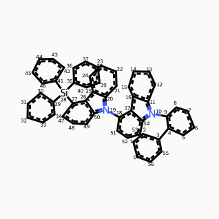 c1ccc(-c2ccccc2-n2c3ccccc3c3c(-n4c5ccccc5c5c([Si](c6ccccc6)(c6ccccc6)c6ccccc6)cccc54)cccc32)cc1